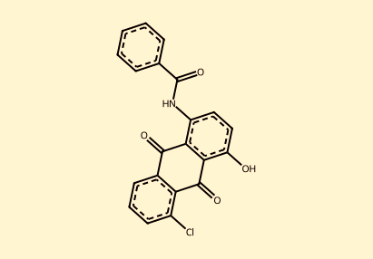 O=C(Nc1ccc(O)c2c1C(=O)c1cccc(Cl)c1C2=O)c1ccccc1